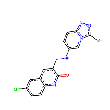 CCCc1nnc2ccc(NCc3cc4cc(Cl)ccc4[nH]c3=O)cn12